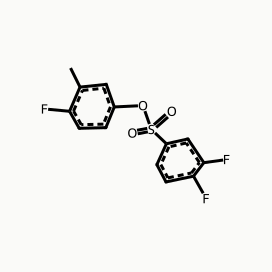 Cc1cc(OS(=O)(=O)c2ccc(F)c(F)c2)ccc1F